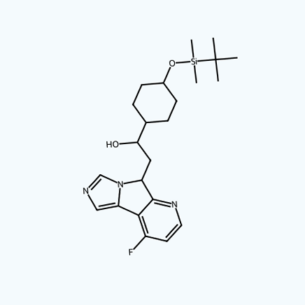 CC(C)(C)[Si](C)(C)OC1CCC(C(O)CC2c3nccc(F)c3-c3cncn32)CC1